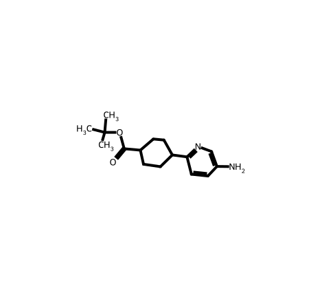 CC(C)(C)OC(=O)C1CCC(c2ccc(N)cn2)CC1